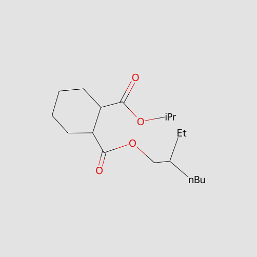 CCCCC(CC)COC(=O)C1CCCCC1C(=O)OC(C)C